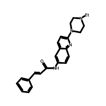 CCN1CCN(c2ccc3cc(NC(=O)C=Cc4ccccc4)ccc3n2)CC1